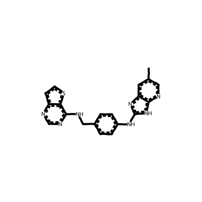 Cc1cnc2[nH]c(Nc3ccc(CNc4ncnc5ccsc45)cc3)nc2c1